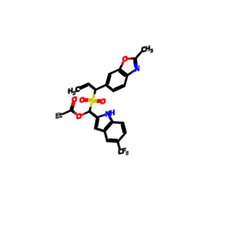 C=CC(c1ccc2nc(C)oc2c1)S(=O)(=O)C(OC(=O)CC)c1cc2cc(C(F)(F)F)ccc2[nH]1